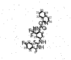 CC(NC(=S)Nc1ccc(NC(=O)Oc2nccc3ccccc23)c(C(F)(F)F)c1)c1ccc(F)cc1